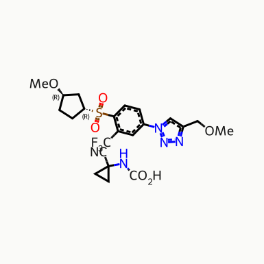 COCc1cn(-c2ccc(S(=O)(=O)[C@@H]3CC[C@@H](OC)C3)c(C(F)(F)F)c2)nn1.N#CC1(NC(=O)O)CC1